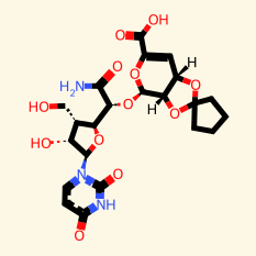 NC(=O)[C@H](O[C@H]1OC(C(=O)O)=C[C@@H]2OC3(CCCC3)O[C@H]12)[C@H]1O[C@@H](n2ccc(=O)[nH]c2=O)[C@H](O)[C@@H]1CO